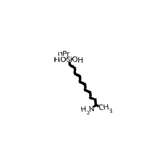 CCC[Si](O)(O)CCCCCCCCCCC(C)N